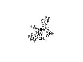 CC(C)[C@H](NC(=O)C(F)(F)F)C(=O)N1CC[C@@H](C)C[C@H]1C(=O)N[C@@H](C[C@@H]1CCNC1=O)C(=O)c1nc2c(C(F)(F)F)cccc2o1